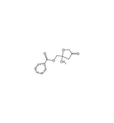 CC1(COC(=O)c2ccccc2)CC(=O)CO1